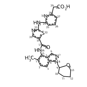 Cc1ccc2c(cnn2C2CCCCO2)c1NC(=O)c1cnc(Nc2cccc(CC(=O)O)n2)s1